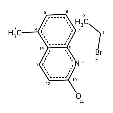 CCBr.Cc1cccc2nc([O])ccc12